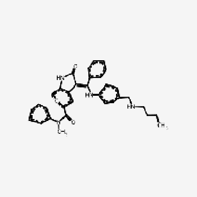 CCCCNCc1ccc(NC(=C2C(=O)Nc3ccc(C(=O)N(C)c4ccccc4)cc32)c2ccccc2)cc1